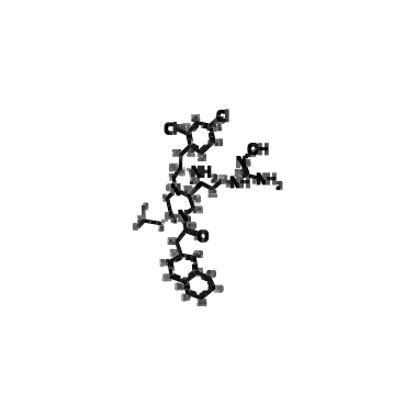 CC(C)C[C@@H]1CN(C[C@@H](N)Cc2ccc(Cl)cc2Cl)[C@@H](CCCNC(N)=NO)CN1C(=O)Cc1ccc2ccccc2c1